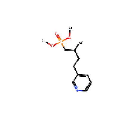 CCOP(=O)(CC(CCc1cccnc1)C(C)=O)OCC